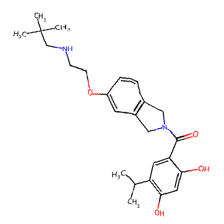 CC(C)c1cc(C(=O)N2Cc3ccc(OCCNCC(C)(C)C)cc3C2)c(O)cc1O